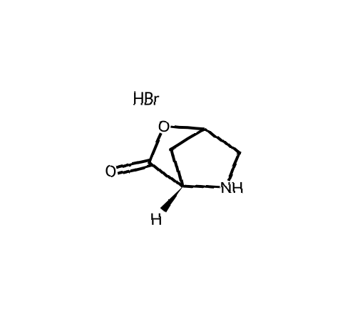 Br.O=C1OC2CN[C@H]1C2